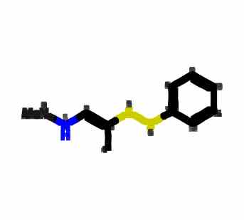 CNN/C=C(\C)SSc1ccccc1